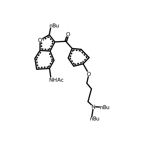 CCCCc1oc2ccc(NC(C)=O)cc2c1C(=O)c1ccc(OCCCN(CCCC)CCCC)cc1